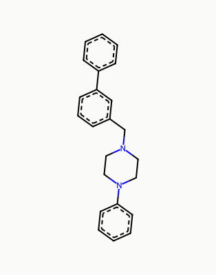 c1ccc(-c2cccc(CN3CCN(c4ccccc4)CC3)c2)cc1